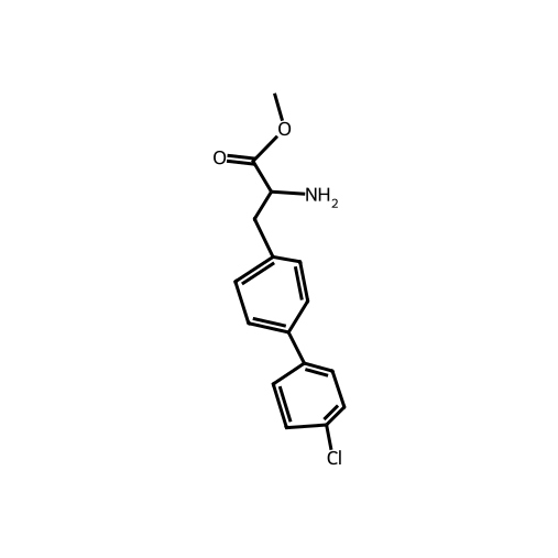 COC(=O)C(N)Cc1ccc(-c2ccc(Cl)cc2)cc1